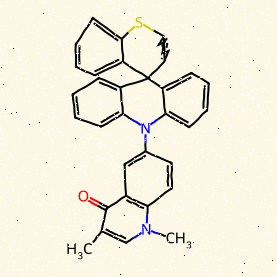 Cc1cn(C)c2ccc(N3c4ccccc4C4(c5ccccc5Sc5ccccc54)c4ccccc43)cc2c1=O